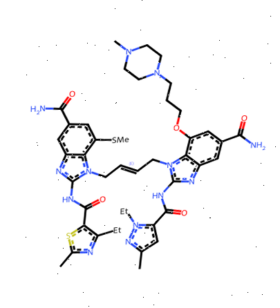 CCc1nc(C)sc1C(=O)Nc1nc2cc(C(N)=O)cc(SC)c2n1C/C=C/Cn1c(NC(=O)c2cc(C)nn2CC)nc2cc(C(N)=O)cc(OCCCN3CCN(C)CC3)c21